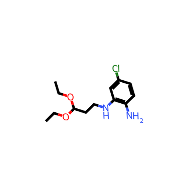 CCOC(CCNc1cc(Cl)ccc1N)OCC